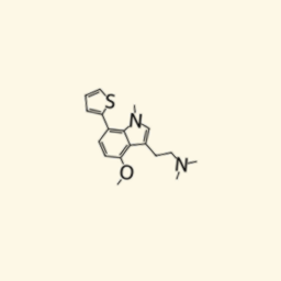 COc1ccc(-c2cccs2)c2c1c(CCN(C)C)cn2C